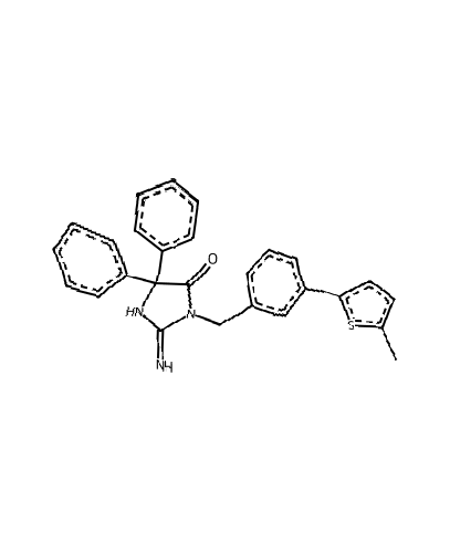 Cc1ccc(-c2cccc(CN3C(=N)NC(c4ccccc4)(c4ccccc4)C3=O)c2)s1